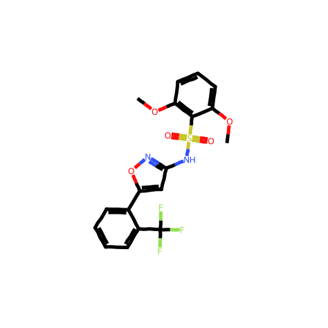 COc1cccc(OC)c1S(=O)(=O)Nc1cc(-c2ccccc2C(F)(F)F)on1